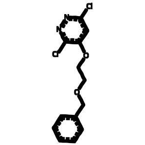 Clc1cc(OCCOCc2ccccc2)c(Cl)nn1